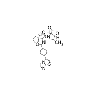 CC1CN(C(=O)C(NC(=O)c2ccc(C3=CSC4=NCCN34)cc2)C2(C)CCCC2)[C@@H]2C(=O)CO[C@@H]12